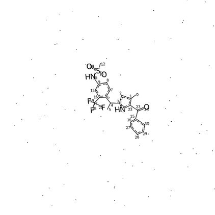 Cc1cc(C(C)c2ccc(NS(C)(=O)=O)cc2C(F)(F)F)[nH]c1C(=O)c1ccccc1